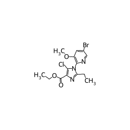 CCOC(=O)c1nc(CC)n(-c2ncc(Br)cc2OC)c1Cl